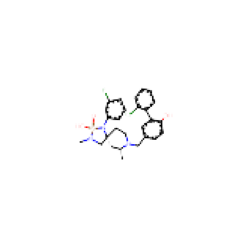 C[C@H]1C[C@]2(CCN1Cc1ccc(O)c(-c3ccccc3Cl)c1)CN(C)S(O)(O)N2c1cccc(F)c1